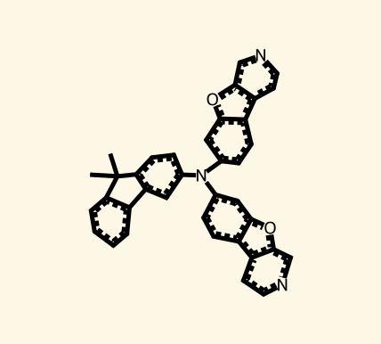 CC1(C)c2ccccc2-c2cc(N(c3ccc4c(c3)oc3cnccc34)c3ccc4c(c3)oc3cnccc34)ccc21